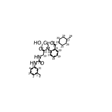 Cc1cccc(NC(=O)NCC(=O)N(CC(=O)O)c2ccccc2C(=O)[C@H]2CC[C@H](C)CC2)c1